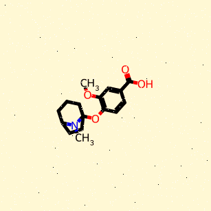 COc1cc(C(=O)O)ccc1OC12CCCC(CC1)N2C